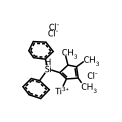 CC1=C(C)C(C)C([SiH](c2ccccc2)c2ccccc2)=[C]1[Ti+3].[Cl-].[Cl-].[Cl-]